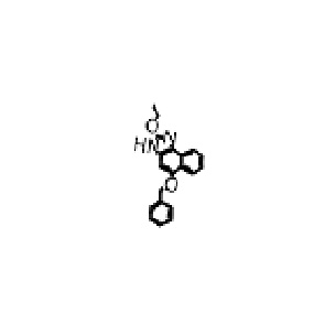 CCOc1nc2c(cc(OCc3ccccc3)c3ccccc32)[nH]1